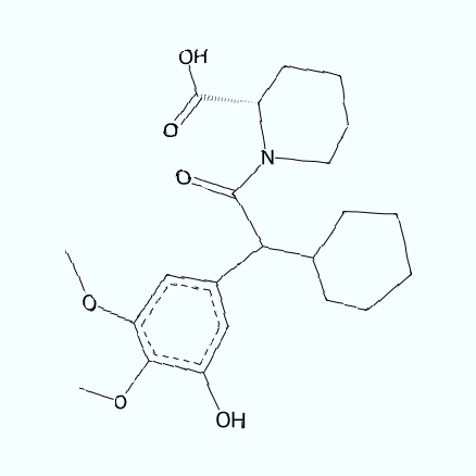 COc1cc(C(C(=O)N2CCCC[C@H]2C(=O)O)C2CCCCC2)cc(O)c1OC